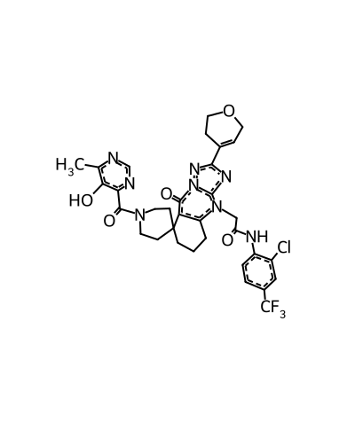 Cc1ncnc(C(=O)N2CCC3(CCCc4c3c(=O)n3nc(C5=CCOCC5)nc3n4CC(=O)Nc3ccc(C(F)(F)F)cc3Cl)CC2)c1O